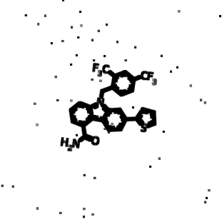 NC(=O)c1cccc2c1c1[c]cc(-c3cccs3)cc1n2Cc1ccc(C(F)(F)F)cc1C(F)(F)F